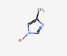 Cc1cn(Br)[c]n1